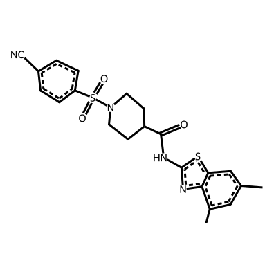 Cc1cc(C)c2nc(NC(=O)C3CCN(S(=O)(=O)c4ccc(C#N)cc4)CC3)sc2c1